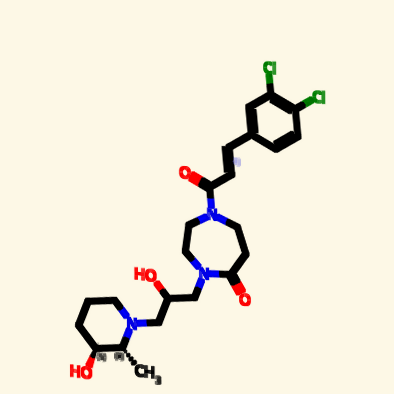 C[C@@H]1[C@@H](O)CCCN1CC(O)CN1CCN(C(=O)/C=C/c2ccc(Cl)c(Cl)c2)CCC1=O